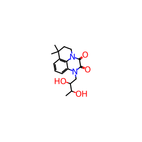 CC(O)C(O)Cn1c(=O)c(=O)n2c3c(cccc31)C(C)(C)CC2